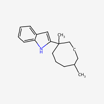 CC1CCCC(C)(c2cc3ccccc3[nH]2)CCC1